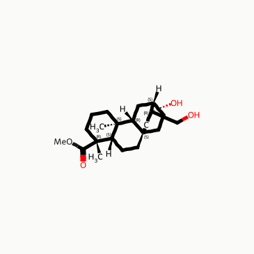 COC(=O)[C@]1(C)CCC[C@@]2(C)[C@@H]3C[C@@H]4CC[C@@]3(CC[C@@H]21)C[C@]4(O)CO